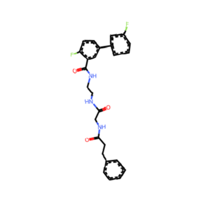 O=C(CCc1ccccc1)NCC(=O)NCCNC(=O)c1cc(-c2cccc(F)c2)ccc1F